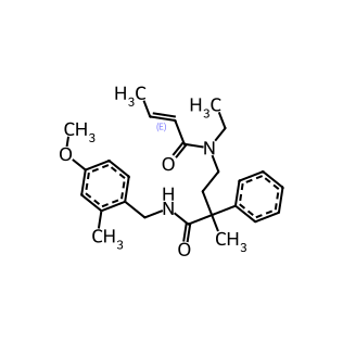 C/C=C/C(=O)N(CC)CCC(C)(C(=O)NCc1ccc(OC)cc1C)c1ccccc1